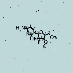 COCC1OC(n2ccc(N)nc2=O)C(F)(F)[C@H]1OC